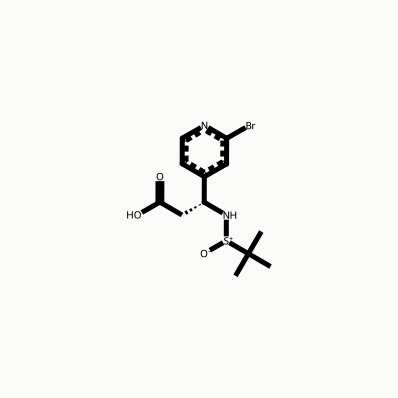 CC(C)(C)[S+]([O-])N[C@H](CC(=O)O)c1ccnc(Br)c1